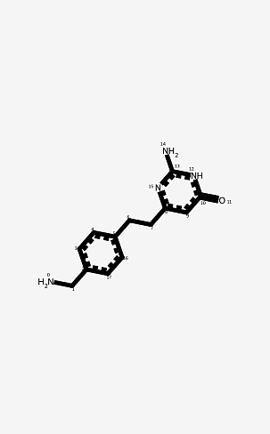 NCc1ccc(CCc2cc(=O)[nH]c(N)n2)cc1